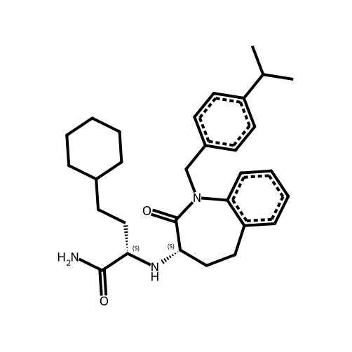 CC(C)c1ccc(CN2C(=O)[C@@H](N[C@@H](CCC3CCCCC3)C(N)=O)CCc3ccccc32)cc1